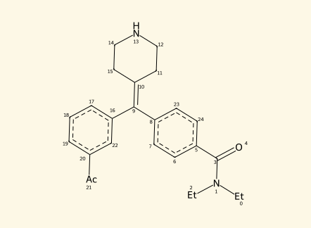 CCN(CC)C(=O)c1ccc(C(=C2CCNCC2)c2cccc(C(C)=O)c2)cc1